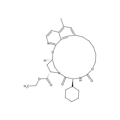 CCOC(=O)[C@@H]1C[C@@H]2CN1C(=O)[C@H](C1CCCCC1)NC(=O)OCCCCCc1cc(I)c3ccnc(c3c1)O2